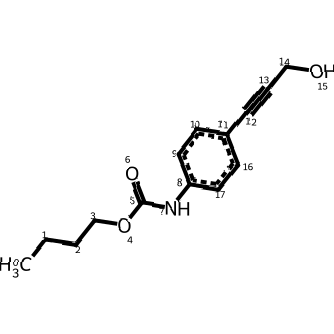 CCCCOC(=O)Nc1ccc(C#CCO)cc1